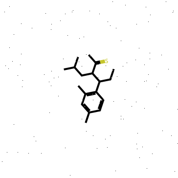 CCC(c1ccc(C)cc1C)C(CC(C)C)C(C)=S